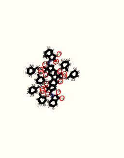 O=C1C(=O)c2ccccc2/C1=C/C1=Cc2cc3c(cc2C1(C(=O)OCc1ccccc1)C(=O)OCc1ccccc1)-c1cc2c(cc1C3(C(=O)OCc1ccccc1)C(=O)OCc1ccccc1)C=C(/C=C1\C(=O)C(=O)c3ccccc31)C2(C(=O)OCc1ccccc1)C(=O)OCc1ccccc1